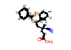 CC(C#N)(CCC(=O)O)CC(SC(=S)c1ccccc1)c1ccccc1